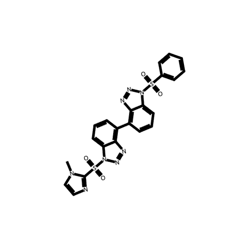 Cn1ccnc1S(=O)(=O)n1nnc2c(-c3cccc4c3nnn4S(=O)(=O)c3ccccc3)cccc21